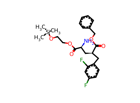 C[Si](C)(C)OCCOC(=O)[C@@H](N)C[C@H](Cc1ccc(F)cc1F)C(=O)OCc1ccccc1